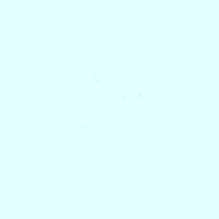 C[C@@]1(C(F)(F)F)CN(C=O)c2cnc3cc(F)nn3c21